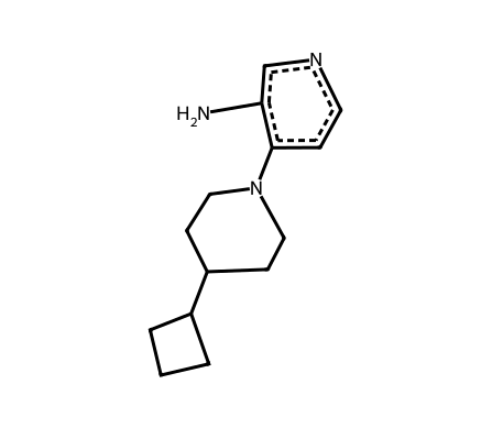 Nc1cnccc1N1CCC(C2CCC2)CC1